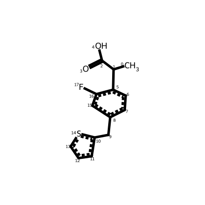 CC(C(=O)O)c1ccc(Cc2cccs2)cc1F